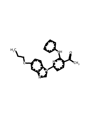 CCCOc1ccc2c(c1)ncn2-c1ccc(C(C)=O)c(Nc2ccccc2)n1